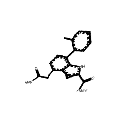 COC(=O)Cc1ccc(-c2ccccc2C)c2[nH]c(C(=O)OC)cc12